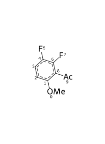 COc1ccc(F)c(F)c1C(C)=O